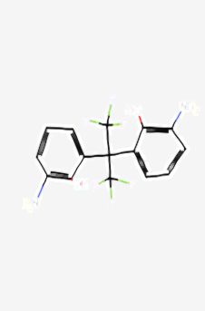 Nc1cccc(C(c2cccc(N)c2O)(C(F)(F)F)C(F)(F)F)c1O